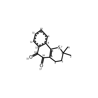 CC1(C)CCC2=C(S1)c1ccccc1C(=O)C2=O